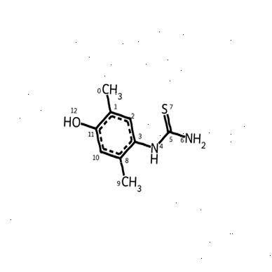 Cc1cc(NC(N)=S)c(C)cc1O